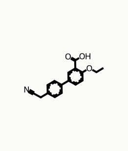 CCOc1ccc(-c2ccc(CC#N)cc2)cc1C(=O)O